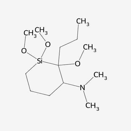 CCCC1(OC)C(N(C)C)CCC[Si]1(OC)OC